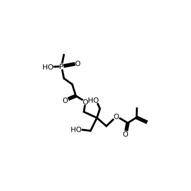 C=C(C)C(=O)OCC(CO)(CO)COC(=O)CCP(C)(=O)O